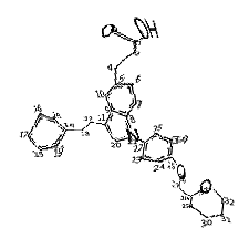 O=C(O)CCc1ccc2c(c1)c(CCc1ccccc1)cn2-c1ccc(OCC2CCCCO2)cc1